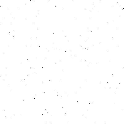 CCCCCCC1C=CC(CCCCCCCC(=O)O)CC1CC(=O)O